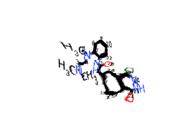 CN(C)CCN(C)c1ccccc1NC(=O)Cc1ccc2c(=O)[nH]nc(Cl)c2c1